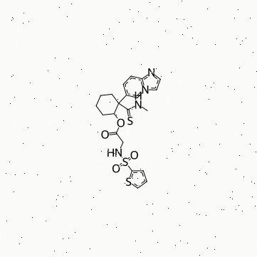 CNC(=S)C1(c2ccc3nccn3c2)CCCCC1OC(=O)CNS(=O)(=O)c1cccs1